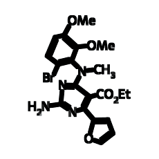 CCOC(=O)c1c(-c2ccco2)nc(N)nc1N(C)c1c(Br)ccc(OC)c1OC